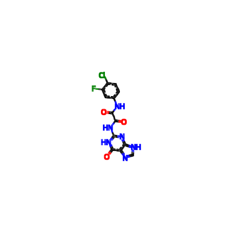 O=C(Nc1ccc(Cl)c(F)c1)C(=O)Nc1nc2[nH]cnc2c(=O)[nH]1